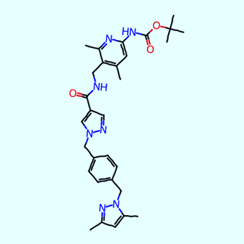 Cc1cc(C)n(Cc2ccc(Cn3cc(C(=O)NCc4c(C)cc(NC(=O)OC(C)(C)C)nc4C)cn3)cc2)n1